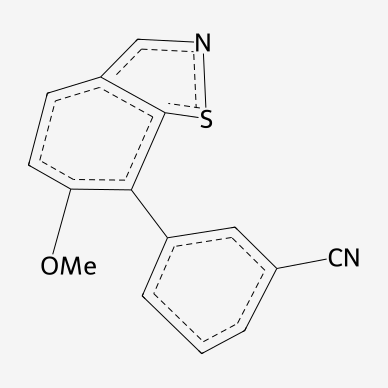 COc1ccc2cnsc2c1-c1cccc(C#N)c1